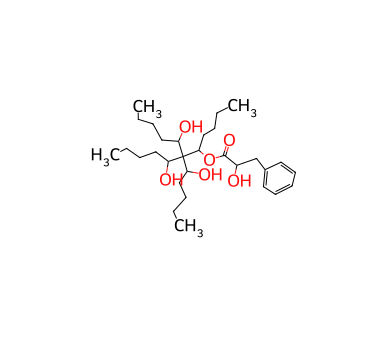 CCCCC(O)C(C(O)CCCC)(C(O)CCCC)C(CCCC)OC(=O)C(O)Cc1ccccc1